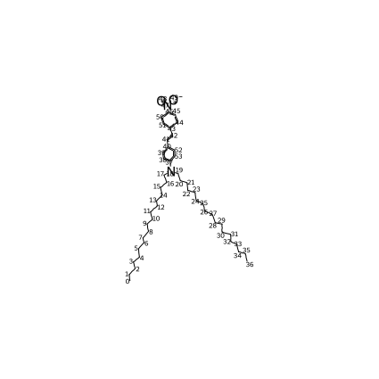 CCCCCCCCCCCCCCCCCCN(CCCCCCCCCCCCCCCCCC)c1ccc(/C=C/c2ccc([N+](=O)[O-])cc2)cc1